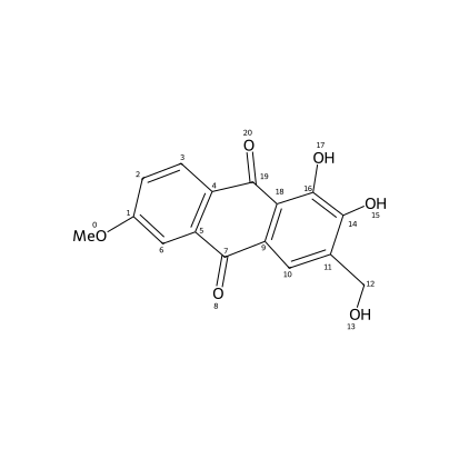 COc1ccc2c(c1)C(=O)c1cc(CO)c(O)c(O)c1C2=O